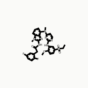 CCS(=O)(=O)c1ccc(OC)c(Nc2nccc(N(C)c3cccc4c3nc(NC(=O)Cc3cc(F)ccc3F)n4C)n2)c1